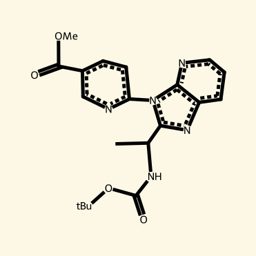 COC(=O)c1ccc(-n2c(C(C)NC(=O)OC(C)(C)C)nc3cccnc32)nc1